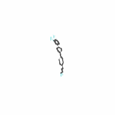 FCCC=C[C@H]1CC[C@H]([C@H]2CC[C@H](c3ccc(F)c(F)c3)CC2)CC1